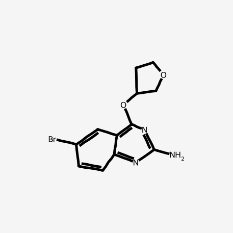 Nc1nc(OC2CCOC2)c2cc(Br)ccc2n1